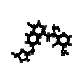 Cc1c([C@@H](N)Nc2nnc(C)c3ccc(O[C@H]4CCN(C)C4)cc23)cccc1C(F)(F)F